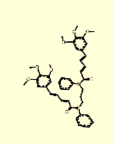 COc1cc(/C=C/C=C/C(=O)N(CCCN(C(=O)/C=C/C=C/c2cc(OC)c(OC)c(OC)c2)c2ccccc2)c2ccccc2)cc(OC)c1OC